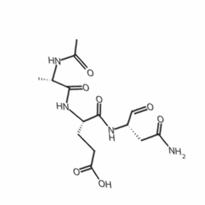 CC(=O)N[C@@H](C)C(=O)N[C@@H](CCC(=O)O)C(=O)N[C@H](C=O)CC(N)=O